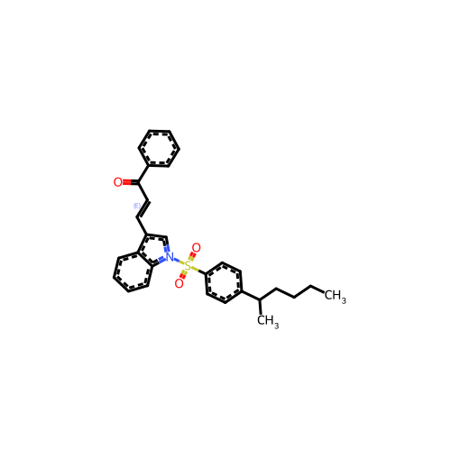 CCCCC(C)c1ccc(S(=O)(=O)n2cc(/C=C/C(=O)c3ccccc3)c3ccccc32)cc1